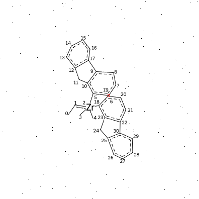 C[CH]=[Zr]([CH3])([CH3])([c]1cccc2c1Cc1ccccc1-2)[c]1cccc2c1Cc1ccccc1-2